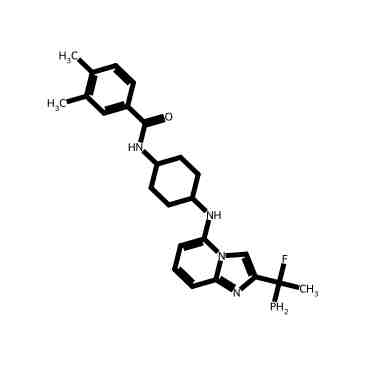 Cc1ccc(C(=O)NC2CCC(Nc3cccc4nc(C(C)(F)P)cn34)CC2)cc1C